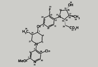 COc1cc(N2CCC(Oc3ccc(N4C[C@H](O)[C@@H](C)[C@@H]4CC(=O)O)c(F)c3)C(C)C2)c(Cl)cn1